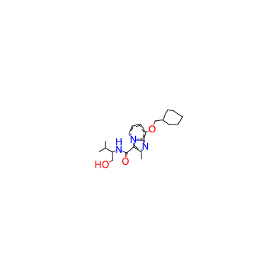 Cc1nc2c(OCC3CCCCC3)cccn2c1C(=O)NC(CO)C(C)C